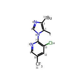 Cc1c(C(C)(C)C)ncn1-c1ncc(C(F)(F)F)cc1Cl